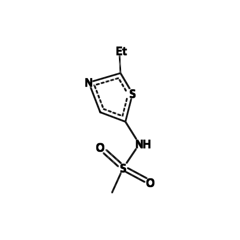 CCc1ncc(NS(C)(=O)=O)s1